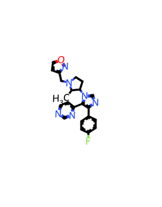 CC1C(n2cnc(-c3ccc(F)cc3)c2-c2ccncn2)CCN1Cc1ccon1